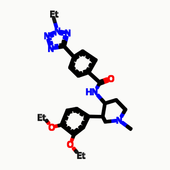 CCOc1ccc(C2CN(C)CCC2NC(=O)c2ccc(-c3nnn(CC)n3)cc2)cc1OCC